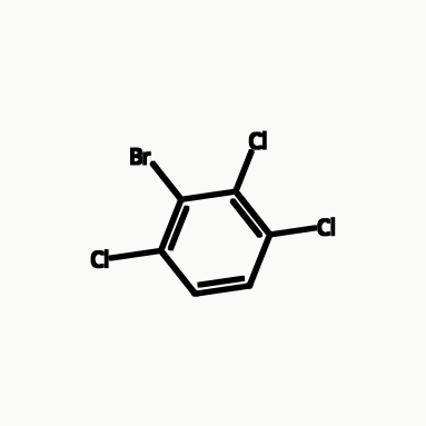 Clc1ccc(Cl)c(Br)c1Cl